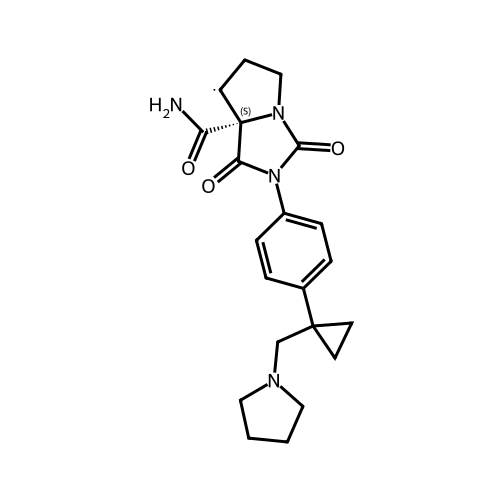 NC(=O)[C@]12[CH]CCN1C(=O)N(c1ccc(C3(CN4CCCC4)CC3)cc1)C2=O